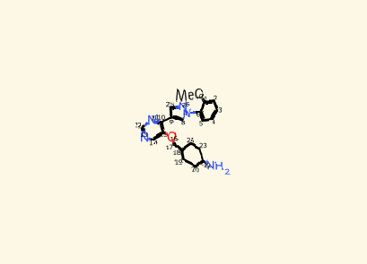 COc1ccccc1-n1cc(-c2ncncc2OCC2CCC(N)CC2)cn1